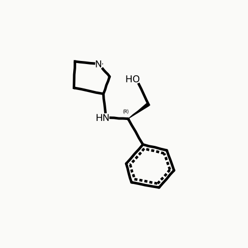 OC[C@H](NC1CC[N]C1)c1ccccc1